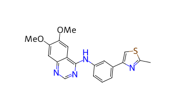 COc1cc2ncnc(Nc3cccc(-c4csc(C)n4)c3)c2cc1OC